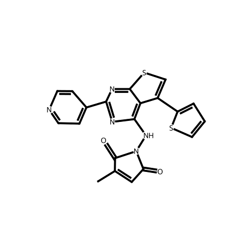 CC1=CC(=O)N(Nc2nc(-c3ccncc3)nc3scc(-c4cccs4)c23)C1=O